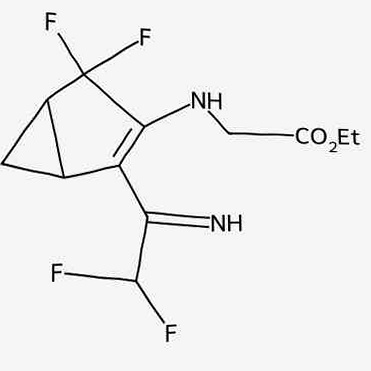 CCOC(=O)CNC1=C(C(=N)C(F)F)C2CC2C1(F)F